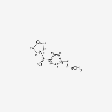 CCCc1ccc(C(=O)N2CCOCC2)cc1